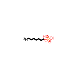 [2H]CCCCCCCOP(=O)(O)O